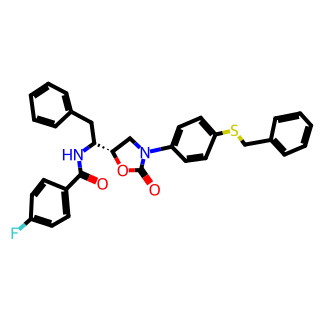 O=C(NC(Cc1ccccc1)[C@@H]1CN(c2ccc(SCc3ccccc3)cc2)C(=O)O1)c1ccc(F)cc1